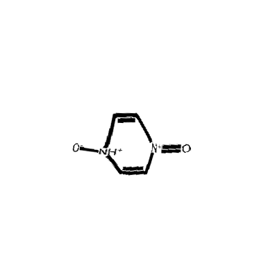 O=[N+]1C=C[NH+]([O-])C=C1